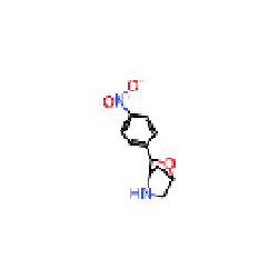 O=[N+]([O-])c1ccc(C2OC3CNC2C3)cc1